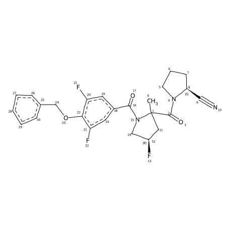 CC1(C(=O)N2CCC[C@H]2C#N)C[C@@H](F)CN1C(=O)c1cc(F)c(OCc2ccccc2)c(F)c1